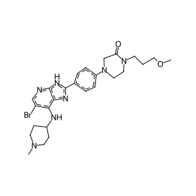 COCCCN1CCN(c2ccc(-c3nc4c(NC5CCN(C)CC5)c(Br)cnc4[nH]3)cc2)CC1=O